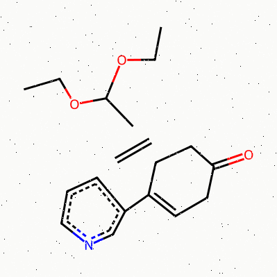 C=C.CCOC(C)OCC.O=C1CC=C(c2cccnc2)CC1